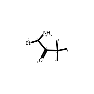 CCC(N)C(=O)C(C)(C)C